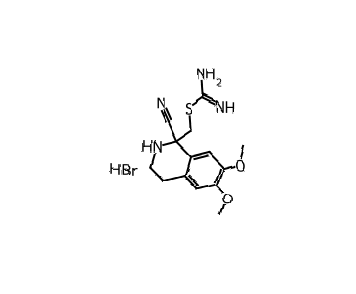 Br.COc1cc2c(cc1OC)C(C#N)(CSC(=N)N)NCC2